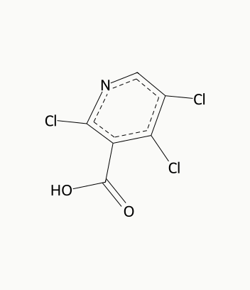 O=C(O)c1c(Cl)ncc(Cl)c1Cl